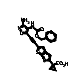 Nc1noc(C#Cc2cc3cc(C4(C(=O)O)CC4)sc3s2)c1NC(=O)OCc1ccccc1